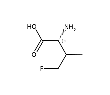 CC(CF)[C@@H](N)C(=O)O